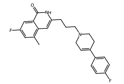 Cc1cc(F)cc2c(=O)[nH]c(CCCN3CC=C(c4ccc(F)cc4)CC3)cc12